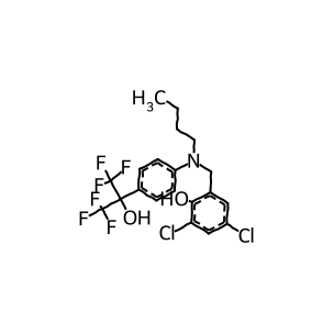 CCCCN(Cc1cc(Cl)cc(Cl)c1O)c1ccc(C(O)(C(F)(F)F)C(F)(F)F)cc1